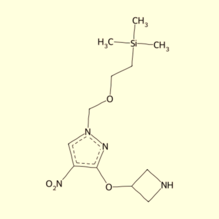 C[Si](C)(C)CCOCn1cc([N+](=O)[O-])c(OC2CNC2)n1